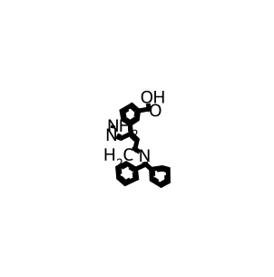 C=C(/C=C(\C=N/N)c1cccc(C(=O)O)c1)N=C(c1ccccc1)c1ccccc1